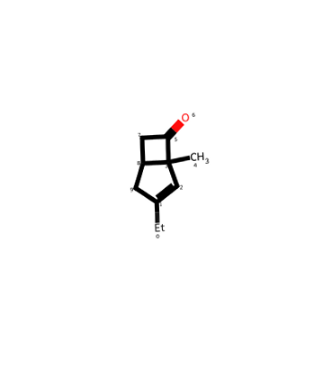 CCC1=CC2(C)C(=O)CC2C1